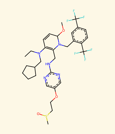 CCN(CC1CCCC1)C1=C(CNc2ncc(OCC[S+](C)[O-])cn2)N(Cc2cc(C(F)(F)F)ccc2C(F)(F)F)C(OC)C=C1